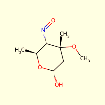 CO[C@]1(C)C[C@H](O)O[C@@H](C)[C@@H]1N=O